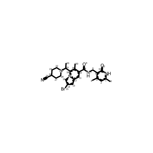 Cc1cc(C)c(CNC(=O)c2cc3cc(Br)cn3c(C(C)N3CCC(C#N)CC3)c2C)c(=O)[nH]1